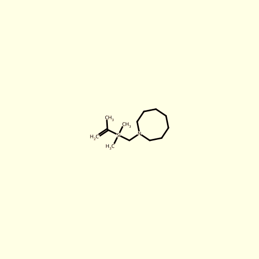 C=C(C)[Si](C)(C)CN1CCCCCCC1